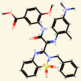 COC(=O)c1ccc(OC)c(NC(=O)/C(=N\c2ccc(N(C)C)cc2C)C2=Nc3ccccc3S(=O)(=O)N2Cc2ccccc2)c1